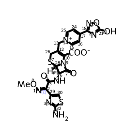 CO/N=C(\C(=O)N[C@@H]1C(=O)N2C(C(=O)[O-])=C(C[n+]3ccc(-c4noc(O)n4)cc3)CS[C@@H]12)c1csc(N)n1